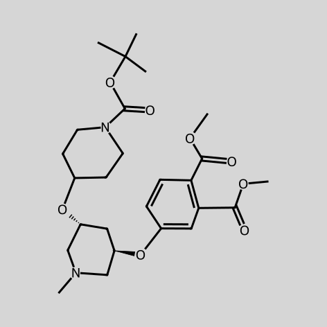 COC(=O)c1ccc(O[C@@H]2C[C@@H](OC3CCN(C(=O)OC(C)(C)C)CC3)CN(C)C2)cc1C(=O)OC